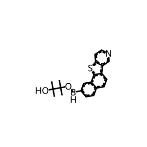 CC(C)(O)C(C)(C)OBc1ccc2ccc3c4cnccc4sc3c2c1